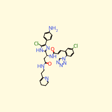 Nc1ccc(-c2nc([C@H](CC(=O)NCCC3=CCCC=N3)NC(=O)/C=C/c3cc(Cl)ccc3-n3cnnn3)[nH]c2Cl)cc1